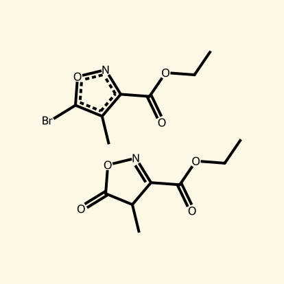 CCOC(=O)C1=NOC(=O)C1C.CCOC(=O)c1noc(Br)c1C